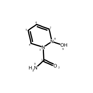 NC(=O)N1C=CC=[C]N1O